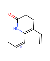 C=CC1=C(/C=C\C)NC(=O)CC1